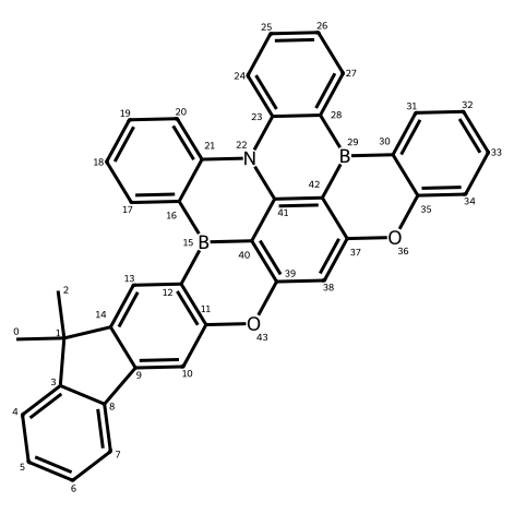 CC1(C)c2ccccc2-c2cc3c(cc21)B1c2ccccc2N2c4ccccc4B4c5ccccc5Oc5cc(c1c2c54)O3